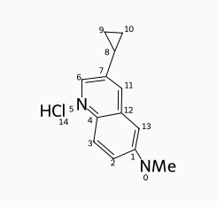 CNc1ccc2ncc(C3CC3)cc2c1.Cl